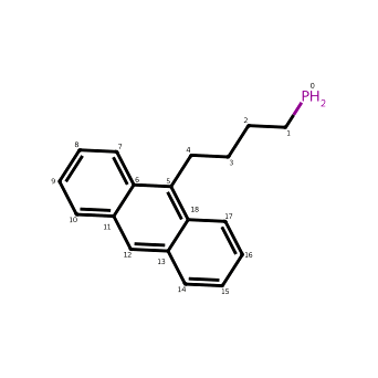 PCCCCc1c2ccccc2cc2ccccc12